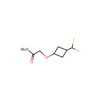 CC(C)COC(=O)COC1CC(C(F)F)C1